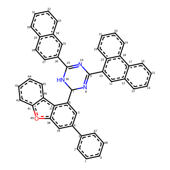 c1ccc(-c2cc(C3N=C(c4cc5ccccc5c5ccccc45)N=C(c4ccc5ccccc5c4)N3)c3c(c2)oc2ccccc23)cc1